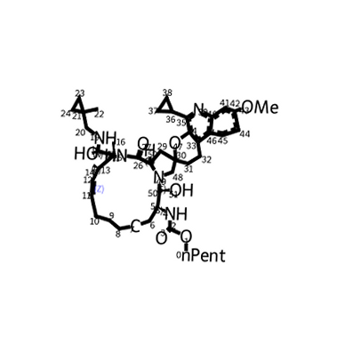 CCCCCOC(=O)N[C@H]1CCCCC/C=C\[C@@H](C)[C@](C)([C@@H](O)NCC2(C)CC2)NC(=O)[C@@H]2CC3(CCc4c(c(C5CC5)nc5cc(OC)ccc45)O3)CN2[C@H]1O